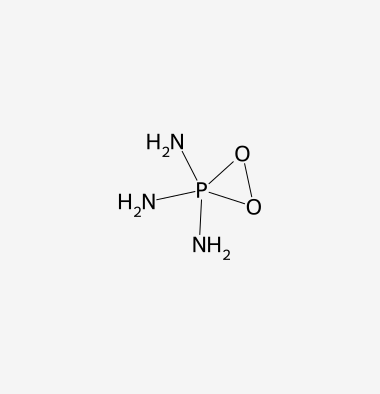 NP1(N)(N)OO1